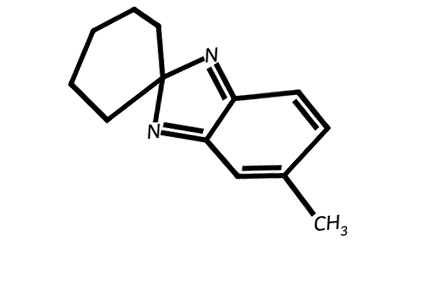 Cc1ccc2c(c1)=NC1(CCCCC1)N=2